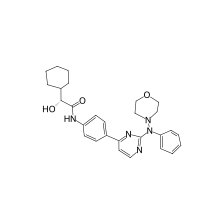 O=C(Nc1ccc(-c2ccnc(N(c3ccccc3)N3CCOCC3)n2)cc1)[C@H](O)C1CCCCC1